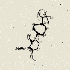 COC1=C(C#N)C(=O)N(c2ccc(C(OC)C(C)(C)C)cc2)CC1